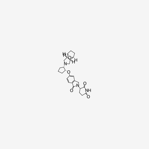 O=C1CCC(N2Cc3cc(O[C@@H]4CCC[C@@H]4N4C[C@@H]5[C@H](C4)[C@H]4CC[C@@H]5O4)ccc3C2=O)C(=O)N1